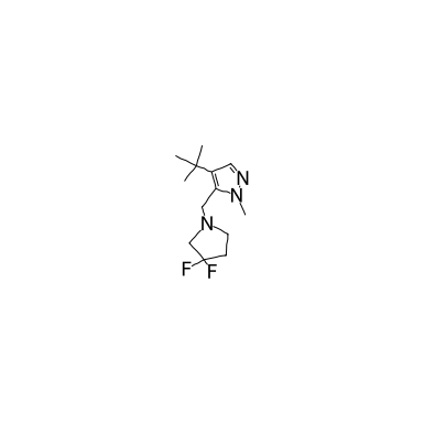 Cn1ncc(C(C)(C)C)c1CN1CCC(F)(F)C1